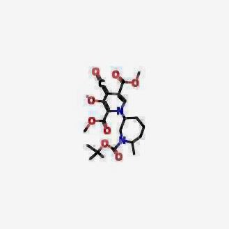 COC(=O)C1=CN(C2CCCC(C)N(C(=O)OC(C)(C)C)C2)C(C(=O)OC)=C(OC)C1=C=O